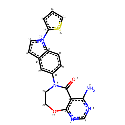 Nc1ncnc2c1C(=O)N(c1ccc3c(ccn3-c3cccs3)c1)CCO2